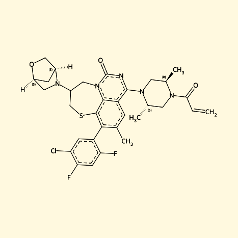 C=CC(=O)N1C[C@H](C)N(c2nc(=O)n3c4c(c(-c5cc(Cl)c(F)cc5F)c(C)cc24)SCC(N2C[C@@H]4C[C@H]2CO4)C3)C[C@H]1C